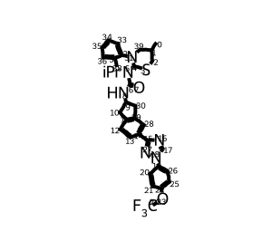 CC1CSC(=NC(=O)NC2Cc3ccc(-c4ncn(-c5ccc(OC(F)(F)F)cc5)n4)cc3C2)N(c2ccccc2C(C)C)C1